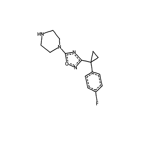 Fc1ccc(C2(c3noc(N4CCNCC4)n3)CC2)cc1